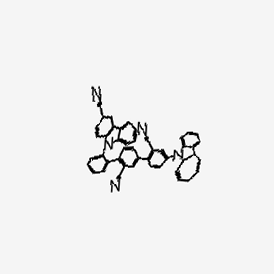 N#Cc1cc(N2c3ccccc3C3C=CCC=CC32)ccc1-c1ccc(-c2ccccc2-n2c3c(c4ccccc42)CC(C#N)C=C3)c(C#N)c1